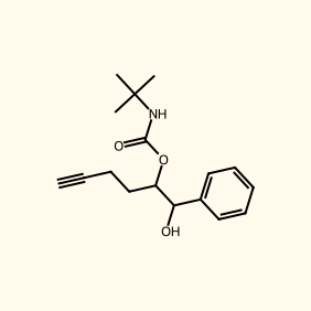 C#CCCC(OC(=O)NC(C)(C)C)C(O)c1ccccc1